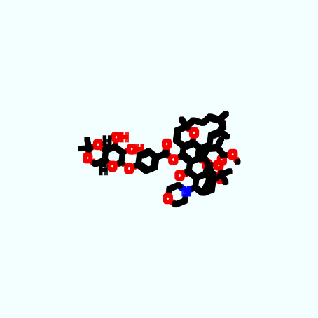 COC(=O)/C(C)=C\CC12OC(C)(C)C3CC(C1=O)C(N1CCOCC1)C1C(=O)c4c(OC(=O)c5ccc(O[C@@H]6O[C@@H]7COC(C)(C)O[C@H]7[C@@H](O)[C@H]6O)cc5)c5c(c(CC=C(C)C)c4OC132)OC(C)(CCC=C(C)C)C=C5